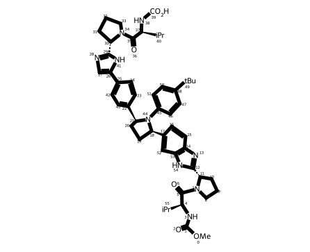 COC(=O)N[C@H](C(=O)N1CCC[C@H]1c1nc2ccc([C@H]3CC[C@@H](c4ccc(-c5cnc([C@@H]6CCCN6C(=O)[C@@H](NC(=O)O)C(C)C)[nH]5)cc4)N3c3ccc(C(C)(C)C)cc3)cc2[nH]1)C(C)C